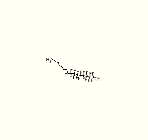 FC(CCCCCC[SiH3])C(F)(F)C(F)(F)C(F)(F)C(F)(F)C(F)(F)C(F)(F)C(F)(F)C(F)(F)C(F)(F)F